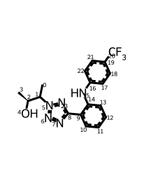 CC([C@H](C)O)n1nnc(-c2ccccc2Nc2ccc(C(F)(F)F)cc2)n1